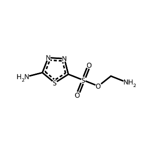 NCOS(=O)(=O)c1nnc(N)s1